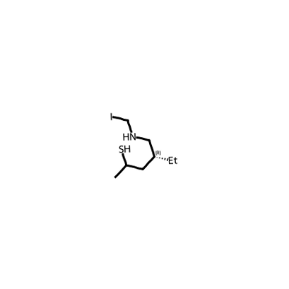 CC[C@@H](CNCI)CC(C)S